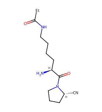 CCC(=O)NCCCC[C@H](N)C(=O)N1CCC[C@H]1C#N